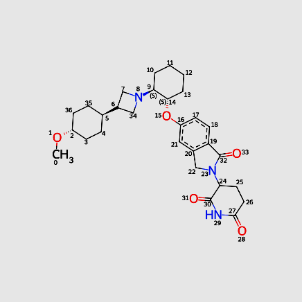 CO[C@H]1CC[C@H](C2CN([C@H]3CCCC[C@@H]3Oc3ccc4c(c3)CN(C3CCC(=O)NC3=O)C4=O)C2)CC1